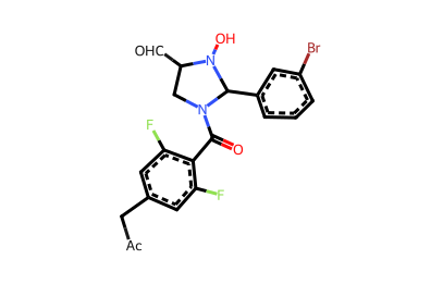 CC(=O)Cc1cc(F)c(C(=O)N2CC(C=O)N(O)C2c2cccc(Br)c2)c(F)c1